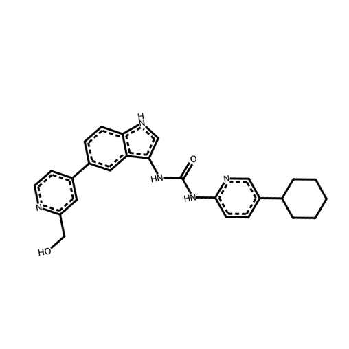 O=C(Nc1ccc(C2CCCCC2)cn1)Nc1c[nH]c2ccc(-c3ccnc(CO)c3)cc12